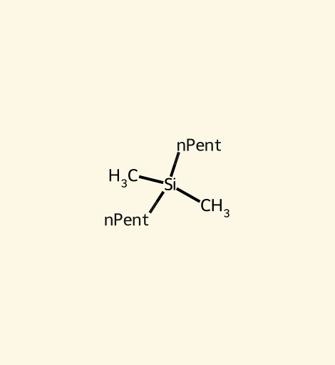 CCCCC[Si](C)(C)CCCCC